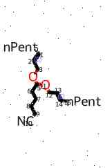 CCCCC/C=C/COC(CCCCC#N)OC/C=C/CCCCC